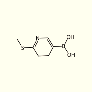 CSC1=NC=C(B(O)O)CC1